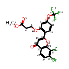 COC(=O)CCOc1cc(OC(F)(F)F)ccc1-c1cc(=O)c2ccc(Br)c(Cl)c2o1